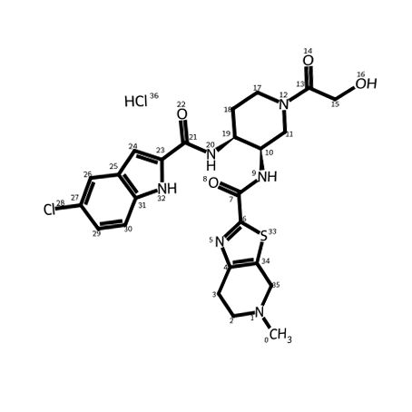 CN1CCc2nc(C(=O)N[C@@H]3CN(C(=O)CO)CC[C@@H]3NC(=O)c3cc4cc(Cl)ccc4[nH]3)sc2C1.Cl